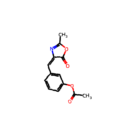 CC(=O)Oc1cccc(C=C2N=C(C)OC2=O)c1